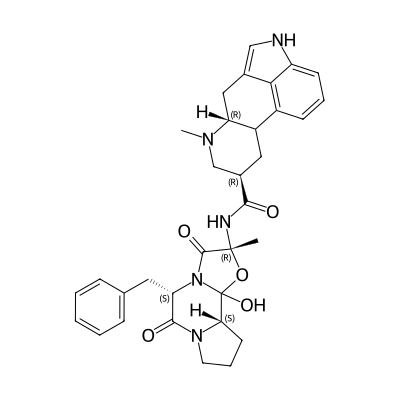 CN1C[C@H](C(=O)N[C@]2(C)OC3(O)[C@@H]4CCCN4C(=O)[C@H](Cc4ccccc4)N3C2=O)CC2c3cccc4[nH]cc(c34)C[C@H]21